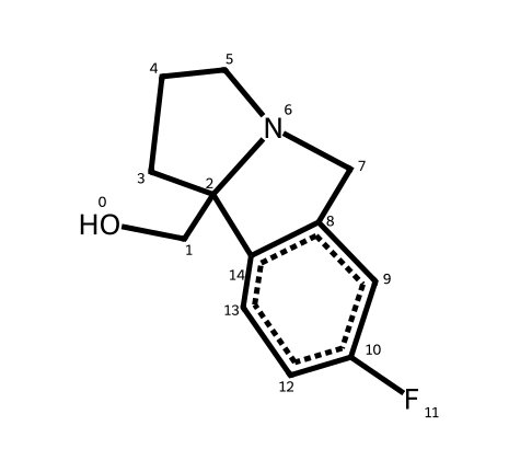 OCC12CCCN1Cc1cc(F)ccc12